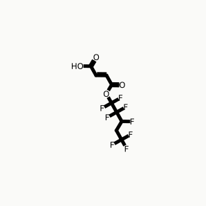 O=C(O)C=CC(=O)OC(F)(F)C(F)(F)C(F)CC(F)(F)F